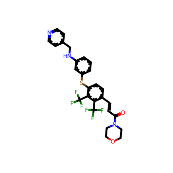 O=C(/C=C/c1ccc(Sc2cccc(NCc3ccncc3)c2)c(C(F)(F)F)c1C(F)(F)F)N1CCOCC1